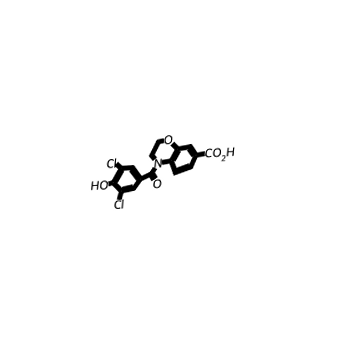 O=C(O)c1ccc2c(c1)OCCN2C(=O)c1cc(Cl)c(O)c(Cl)c1